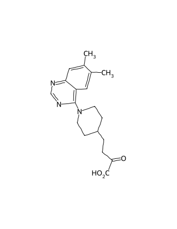 Cc1cc2ncnc(N3CCC(CCC(=O)C(=O)O)CC3)c2cc1C